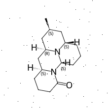 C[C@@H]1C[C@@H]2C[C@@H]3CCCC(=O)N3[C@H]3CCC[C@@H](C1)N23